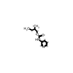 CCC(C)COC(=O)Nc1cccnc1